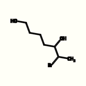 CC(Br)C(O)CCCCO